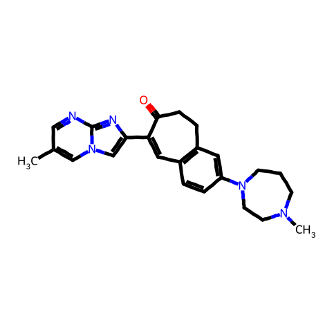 Cc1cnc2nc(C3=Cc4ccc(N5CCCN(C)CC5)cc4CCC3=O)cn2c1